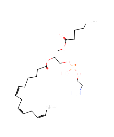 CCCCC/C=C\C/C=C\C/C=C\CCCCC(=O)O[C@H](COC(=O)CCCCCCCCCCCCC)COP(=O)(O)OCCN